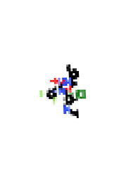 CCc1cccc(C2(NC[C@H](O)[C@H](Cc3cc(F)cc(F)c3)NC(=O)c3cc(C)cc(CN(C)CCC(C)C)c3)CC2)c1.Cl.Cl